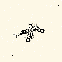 COc1ccc(C[C@H](NC(=O)[C@@H](C)NC(=O)C2=Cc3ccccc3C2)C(=O)N[C@@H](Cc2ccccc2)C(=O)[C@@]2(C)CO2)cc1